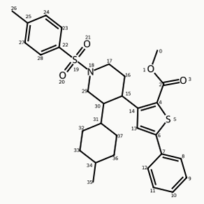 COC(=O)c1sc(-c2ccccc2)cc1C1CCN(S(=O)(=O)c2ccc(C)cc2)CC1C1CCC(C)CC1